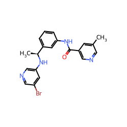 Cc1cncc(C(=O)Nc2cccc([C@H](C)Nc3cncc(Br)c3)c2)c1